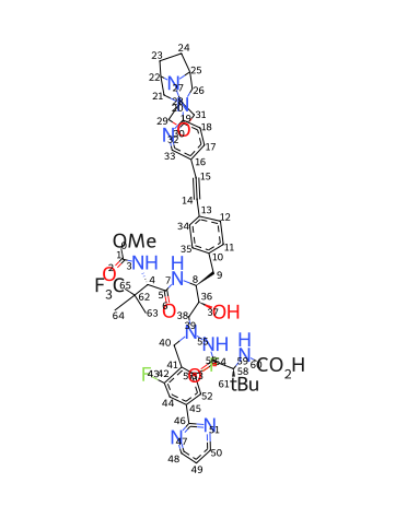 COC(=O)N[C@H](C(=O)N[C@@H](Cc1ccc(C#Cc2ccc(N3CC4CCC(C3)N4C3COC3)nc2)cc1)[C@@H](O)CN(Cc1c(F)cc(-c2ncccn2)cc1F)NC(=O)[C@@H](NC(=O)O)C(C)(C)C)C(C)(C)C(F)(F)F